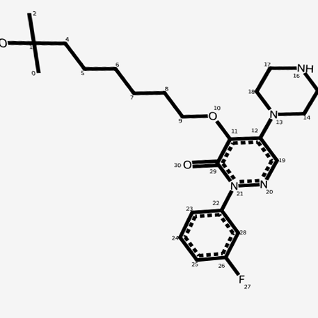 CC(C)(O)CCCCCCOc1c(N2CCNCC2)cnn(-c2cccc(F)c2)c1=O